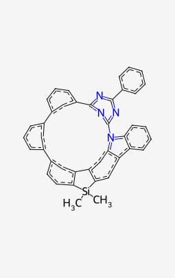 C[Si]1(C)c2ccc3cc2-c2cc4c(cc21)c1ccccc1n4-c1nc(-c2ccccc2)nc(n1)-c1cccc(c1)-c1cccc-3c1